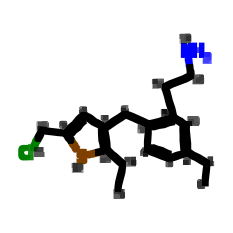 CCc1ccc(Cc2cc(CCl)sc2CC)c(CCN)c1